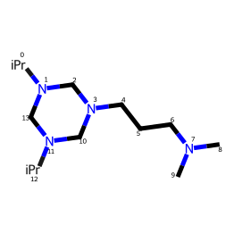 CC(C)N1CN(CCCN(C)C)CN(C(C)C)C1